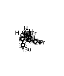 CC1=Cc2c(-c3ccc(C(C)(C)C)cc3)cccc2[CH]1[Zr]([Cl])([Cl])([CH]1C(C(C)C)=Cc2c(-c3ccc(C(C)C)cc3)cccc21)[SiH](C)C